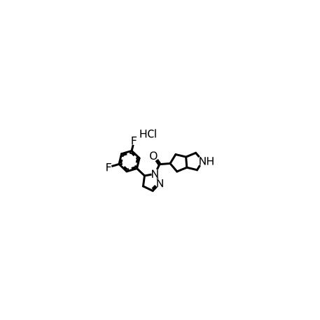 Cl.O=C(C1CC2CNCC2C1)N1N=CCC1c1cc(F)cc(F)c1